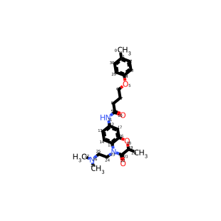 Cc1ccc(OCCCC(=O)Nc2ccc3c(c2)OC(C)C(=O)N3CCN(C)C)cc1